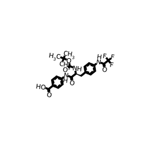 CC(C)(C)OC(=O)N[C@@H](Cc1ccc(NC(=O)C(F)(F)F)cc1)C(=O)Nc1ccc(C(=O)O)cc1